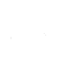 Cc1c[c]cnc1I